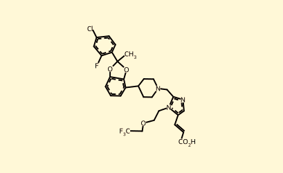 CC1(c2ccc(Cl)cc2F)Oc2cccc(C3CCN(Cc4ncc(/C=C/C(=O)O)n4CCOCC(F)(F)F)CC3)c2O1